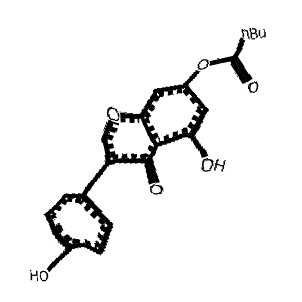 CCCCC(=O)Oc1cc(O)c2c(=O)c(-c3ccc(O)cc3)coc2c1